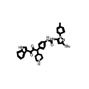 Cc1ccc(-n2nc(C(C)(C)C)cc2NC(=O)Nc2ccc(C(C(=O)C(=O)c3c[nH]c4ccccc34)C3CCNCC3)cc2)cc1